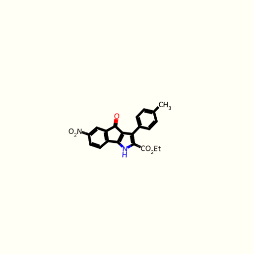 CCOC(=O)c1[nH]c2c(c1-c1ccc(C)cc1)C(=O)c1cc([N+](=O)[O-])ccc1-2